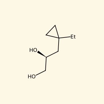 CCC1(C[C@H](O)CO)CC1